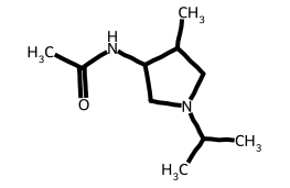 CC(=O)NC1CN(C(C)C)CC1C